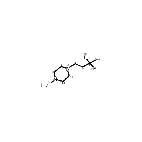 CN1CCN(CCC(F)(F)F)CC1